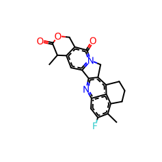 Cc1c(F)cc2nc3c(c4c2c1CCC4)Cn1c-3cc2c(c1=O)COC(=O)C2C